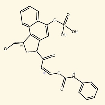 O=C(Nc1ccccc1)O/C=C\C(=O)N1C[C@@H](CCl)c2c1cc(OP(=O)(O)O)c1ccccc21